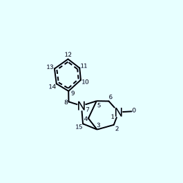 CN1CC2CC(C1)N(Cc1ccccc1)C2